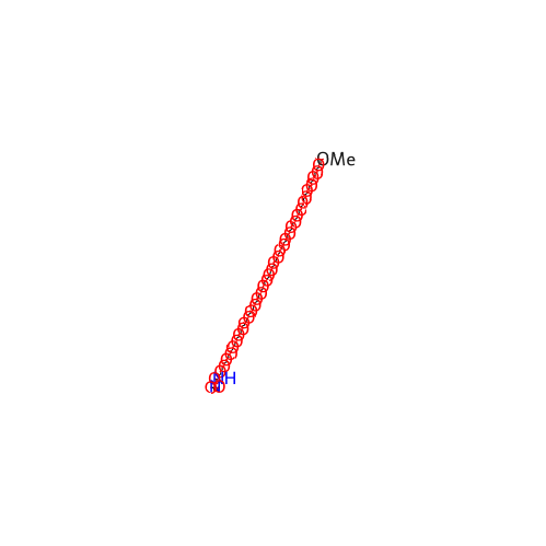 COCCOCCOCCOCCOCCOCCOCCOCCOCCOCCOCCOCCOCCOCCOCCOCCOCCOCCOCCOCCOCCOCCOCCOCCOCCOCCOCCOCCOCCOCCOCCOCCOCCOCCOCCOCCNC(=O)CCN1C(=O)C=CC1=O